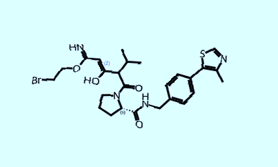 Cc1ncsc1-c1ccc(CNC(=O)[C@@H]2CCCN2C(=O)C(/C(O)=C/C(=N)OCCBr)C(C)C)cc1